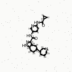 O=C(Nc1ccc(NC(=O)C2CC2)nc1)c1n[nH]c2ccc(-c3cccnc3)cc12